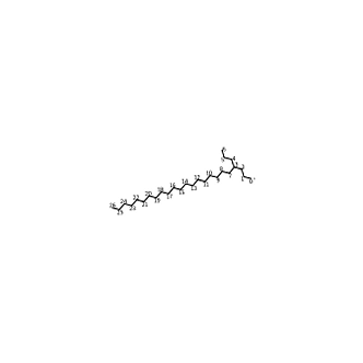 [CH2]CCC(CCC)CCCCCCCCCCCCCCCCCCCC